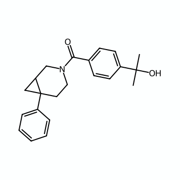 CC(C)(O)c1ccc(C(=O)N2CCC3(c4ccccc4)CC3C2)cc1